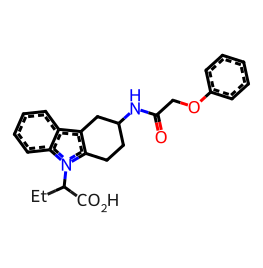 CCC(C(=O)O)n1c2c(c3ccccc31)CC(NC(=O)COc1ccccc1)CC2